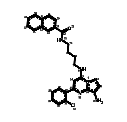 Bc1cnn2c(NCCCCNC(=O)c3ccc4ccccc4c3)cc(-c3ccccc3Cl)nc12